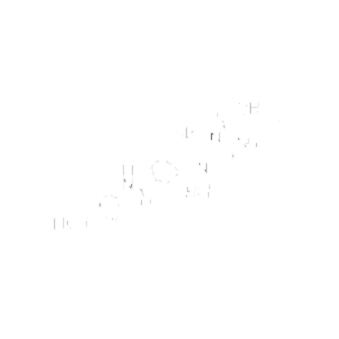 CCCCN1C(=O)[C@@H]([C@H](O)C2CCCCC2)NC(=O)C12CCN(Cc1cccc(C(=O)Nc3ccc(C(=O)O)cc3)c1)CC2.Cl